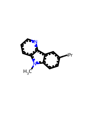 CC(C)c1ccc2c(c1)c1ncccc1n2C